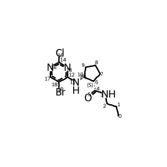 CCCNC(=O)[C@H]1CCC[C@H]1Nc1nc(Cl)ncc1Br